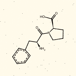 N[C@@H](Cc1ccccc1)C(=O)N1CCC[C@@H]1C(=O)O